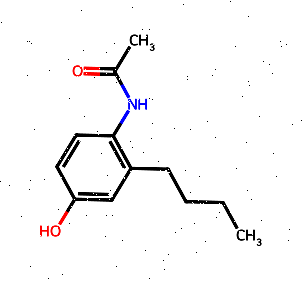 CCCCc1cc(O)ccc1NC(C)=O